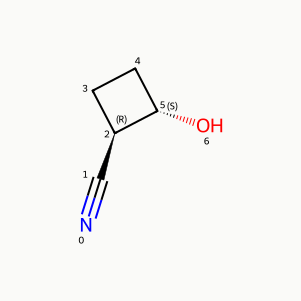 N#C[C@H]1CC[C@@H]1O